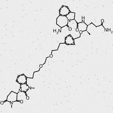 C[C@@H](OCc1ccc(CCCOCCOCCCc2cccc3c2n(C)c(=O)n3C2CCC(=O)N(C)C2=O)cc1)[C@H](CCC(N)=O)NC(=O)[C@@H]1Cc2cccc3c2N1C(=O)[C@@H](N)CC3